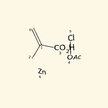 C=C(C)C(=O)O.CC(=O)OCl.[Zn]